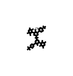 Cc1cc(C)c(C)c(-c2cc(C(C)(C)c3cc(-c4ccc(C(C)(C)C)cc4)c(CO)c(-c4c(C)c(C)cc(C)c4C)c3)cc(-c3ccc(C(C)(C)C)cc3)c2C)c1C